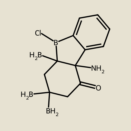 BC1(B)CC(=O)C2(N)c3ccccc3B(Cl)C2(B)C1